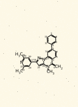 C=C1c2ccc(-c3ccccc3)cc2-n2nc(-c3cc(C)nc(C)c3)cc2N1C